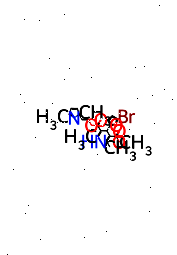 COC(=O)C1=C(C)NC(C)=C(C(=O)OCCC2(C)C=CC(C)=N2)C1c1ccc(Br)o1